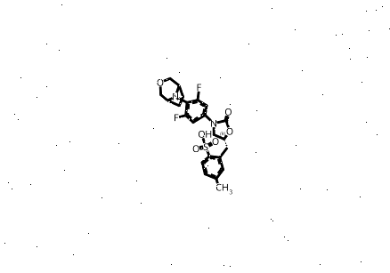 Cc1ccc(S(=O)(=O)O)c(C[C@@H]2CN(c3cc(F)c(N4C5CCC4COC5)c(F)c3)C(=O)O2)c1